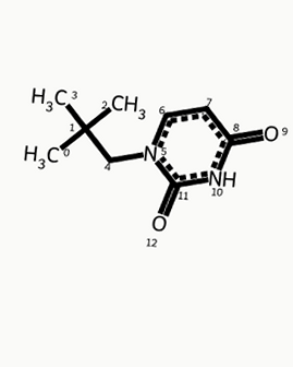 CC(C)(C)Cn1ccc(=O)[nH]c1=O